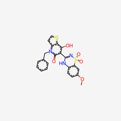 COc1ccc2c(c1)S(=O)(=O)N=C(c1c(O)c3sccc3n(Cc3ccccc3)c1=O)N2